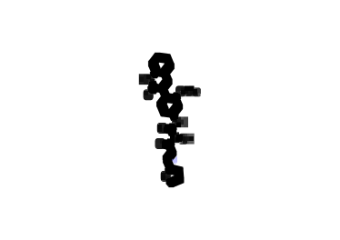 COc1cc(NC(=O)N(S)C(=O)/C=C/c2ccco2)ccc1-c1cc2ccccc2[nH]c1=O